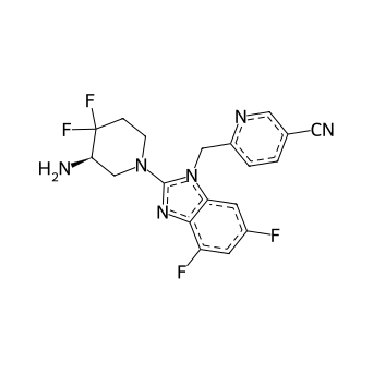 N#Cc1ccc(Cn2c(N3CCC(F)(F)[C@H](N)C3)nc3c(F)cc(F)cc32)nc1